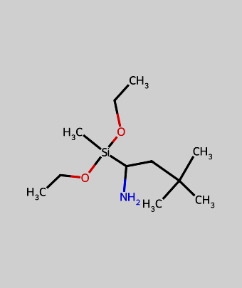 CCO[Si](C)(OCC)C(N)CC(C)(C)C